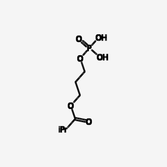 CC(C)C(=O)OCCCOP(=O)(O)O